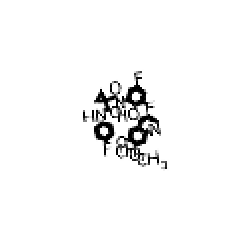 COc1cc2nccc(Oc3c(F)cc(F)cc3NC(=O)C3(C(=O)Nc4ccc(F)cc4)CC3)c2cc1OC